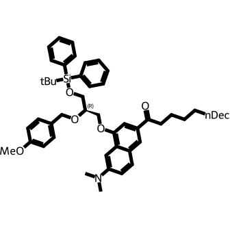 CCCCCCCCCCCCCCC(=O)c1cc(OC[C@H](CO[Si](c2ccccc2)(c2ccccc2)C(C)(C)C)OCc2ccc(OC)cc2)c2cc(N(C)C)ccc2c1